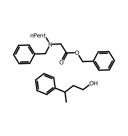 CC(CCO)c1ccccc1.CCCCCN(CC(=O)OCc1ccccc1)Cc1ccccc1